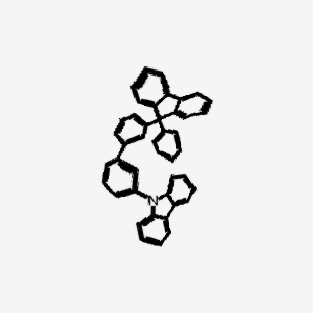 c1ccc(C2(c3cccc(-c4cccc(-n5c6ccccc6c6ccccc65)c4)c3)c3ccccc3-c3ccccc32)cc1